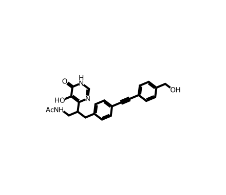 CC(=O)NCC(Cc1ccc(C#Cc2ccc(CO)cc2)cc1)c1nc[nH]c(=O)c1O